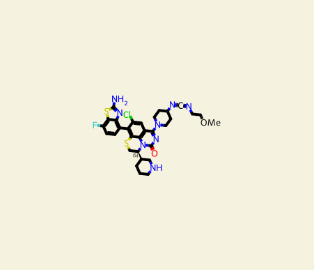 COCCN=C=NC1CCN(c2nc(=O)n3c4c(c(-c5ccc(F)c6sc(N)nc56)c(Cl)cc24)SC[C@@H]3C2CCCNC2)CC1